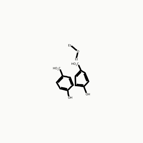 CCOCC.O=C(O)c1ccc(O)cc1.O=C(O)c1ccc(O)cc1